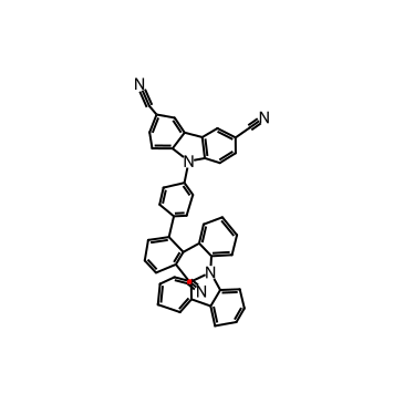 N#Cc1ccc2c(c1)c1cc(C#N)ccc1n2-c1ccc(-c2cccc(C#N)c2-c2ccccc2-n2c3ccccc3c3ccccc32)cc1